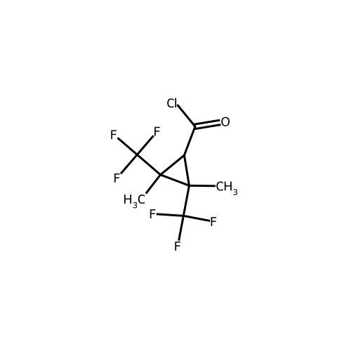 CC1(C(F)(F)F)C(C(=O)Cl)C1(C)C(F)(F)F